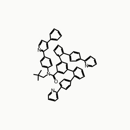 CC(C)(C)CN(C(=O)c1cc(-c2ccccc2-c2ccc(-c3ccccn3)cc2)cc(-c2ccccc2-c2ccc(-c3ccccn3)cc2)c1)c1ccc(-c2cc(-c3ccccc3)ccn2)cc1